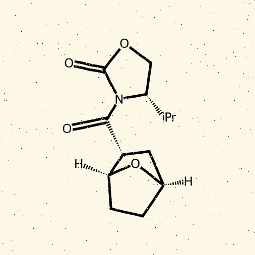 CC(C)[C@H]1COC(=O)N1C(=O)[C@@H]1C[C@H]2CC[C@@H]1O2